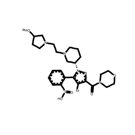 CCc1c(C(=O)N2CCOCC2)nn([C@H]2CCCN(CCN3CCC(OC)C3)C2)c1-c1ccccc1S(=O)O